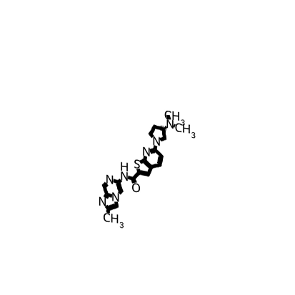 Cc1cn2cc(NC(=O)c3cc4ccc(N5CC[C@@H](N(C)C)C5)nc4s3)ncc2n1